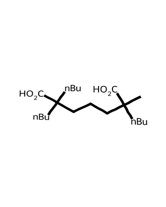 CCCCC(C)(CCCC(CCCC)(CCCC)C(=O)O)C(=O)O